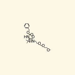 COCCOCOCCNC(=O)[C@@H](NC(=O)OCc1ccccc1)C(C)(C)C